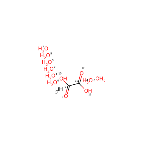 O.O.O.O.O.O.O.O.O=C(O)C(=O)O.[LiH]